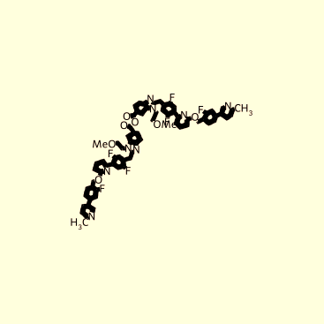 COCCn1c(Cc2cc(F)c(-c3cccc(OCc4ccc(-c5ccc(C)nc5)cc4F)n3)cc2F)nc2ccc(C(=O)OC(=O)c3ccc4nc(Cc5cc(F)c(-c6cccc(OCc7ccc(-c8ccc(C)nc8)cc7F)n6)cc5F)n(CCOC)c4c3)cc21